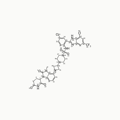 Cn1c(=O)n(C2CCC(=O)NC2=O)c2cccc(N3CC(N4CCN(S(=O)(=O)Nc5ccc(Cl)cc5-c5nc6cc(C(F)(F)F)cc(Cl)c6[nH]5)CC4)C3)c21